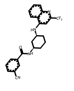 N#Cc1cccc(C(=O)N[C@@H]2CCC[C@H](Nc3cc(C(F)(F)F)nc4ccccc34)C2)c1